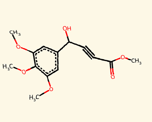 COC(=O)C#CC(O)c1cc(OC)c(OC)c(OC)c1